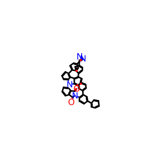 N#Cc1ccc(-c2cccc3c2c2c(-c4ccc(C#N)cc4)cccc2n3-c2cccc3c2C(=O)N(c2ccc(-c4ccccc4)cc2-c2ccccc2)C3=O)cc1